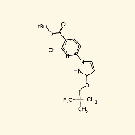 CC(C)(C)OC(=O)c1ccc(N2C=CC(OCC(C)(C)C(F)(F)F)N2)nc1Cl